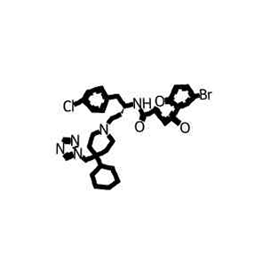 O=C(N[C@H](CCN1CCC(Cn2cncn2)(C2CCCCC2)CC1)Cc1ccc(Cl)cc1)c1cc(=O)c2cc(Br)ccc2o1